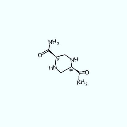 NC(=O)[C@H]1CN[C@@H](C(N)=O)CN1